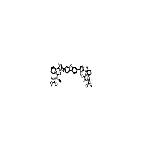 C#C[C@H](NC(=O)OC)C(=O)N1CCC#C[C@H]1c1ncc(-c2ccc3c(c2)sc2cc(-c4cnc([C@@H]5[C@H]6CC[C@H](C6)N5C(=O)[C@H](C)NC(=O)OC)[nH]4)ccc23)[nH]1